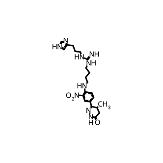 CC1CC(=O)NN=C1c1ccc(NCCCCNC(=N)NCCCc2c[nH]cn2)c([N+](=O)[O-])c1